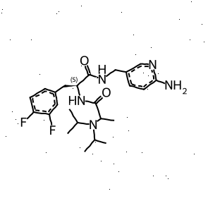 CC(C)N(C(C)C)C(C)C(=O)N[C@@H](Cc1ccc(F)c(F)c1)C(=O)NCc1ccc(N)nc1